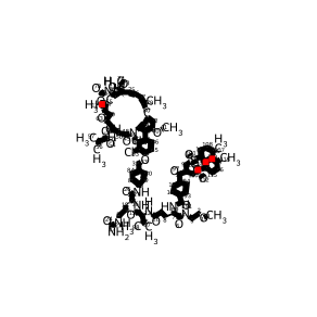 COCCNC(=O)[C@@H](CCC(=O)N[C@@H](C(=O)N[C@H](CCCNC(N)=O)C(=O)Nc1ccc(COc2ccc(-c3c(OC)cc4cc3N(C)C(=O)C[C@H](OC(=O)C(C)C)[C@]3(C)CC(C)(O3)[C@@H]3CC(O)(NC(=O)O3)[C@H](OC)/C=C\C=C(\C)C4)cc2Cl)cc1)C(C)C)NC(=O)c1ccc(C(=O)C(CS(=O)(=O)c2ccc(C)cc2)CS(=O)(=O)c2ccc(C)cc2)cc1